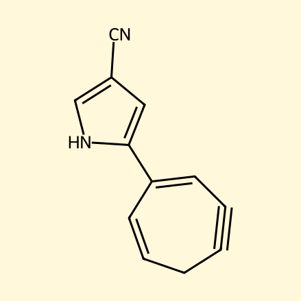 N#Cc1c[nH]c(C2=CC#CCC=C2)c1